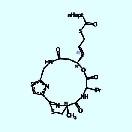 CCCCCCCC(=O)SC/C=C/[C@@H]1CC(=O)NCc2nc(cs2)C2=N[C@@](C)(CS2)C(=O)NC(C(C)C)C(=O)O1